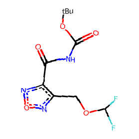 CC(C)(C)OC(=O)NC(=O)c1nonc1COC(F)F